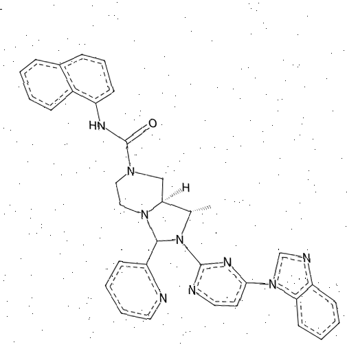 C[C@H]1[C@@H]2CN(C(=O)Nc3cccc4ccccc34)CCN2C(c2ccccn2)N1c1nccc(-n2cnc3ccccc32)n1